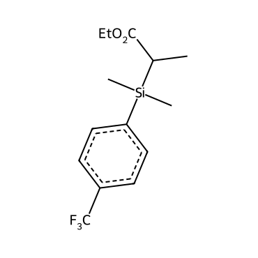 CCOC(=O)C(C)[Si](C)(C)c1ccc(C(F)(F)F)cc1